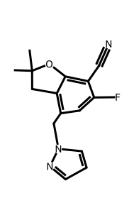 CC1(C)Cc2c(Cn3cccn3)cc(F)c(C#N)c2O1